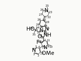 COc1ccncc1-c1nc(C)cc(C(=O)Nc2nc3cc(C4CCN(C)CC4)ccc3n2CC(C)(C)O)c1F